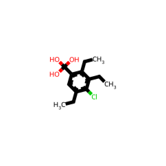 CCc1cc(C(O)(O)O)c(CC)c(CC)c1Cl